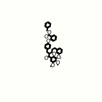 COc1cc(C(=O)C(Cc2ccc(Oc3ccccc3C(=O)OCc3ccccc3)cc2)C(=O)CCc2ccccc2)cc(OC)c1OC